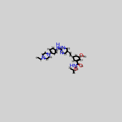 CCN1CCN([C@@H]2CC=C(NC3=NC[C@H](CC[C@H]4CC(C(=O)NOC(C)C)=C[C@@H](OC)C4)CN3)CC2)CC1